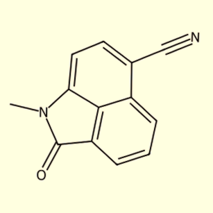 CN1C(=O)c2cccc3c(C#N)ccc1c23